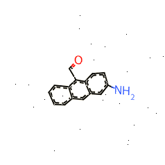 Nc1ccc2c(C=O)c3ccccc3cc2c1